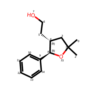 CC1(C)C[C@@H](CCO)[C@H](c2ccccc2)O1